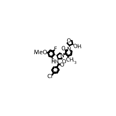 COc1cc(F)c([C@@H]2CN(c3c(C)ccn([C@H]4COC[C@@H]4O)c3=O)C(=O)[C@H]2NC(=O)c2ccc(Cl)cc2)c(F)c1